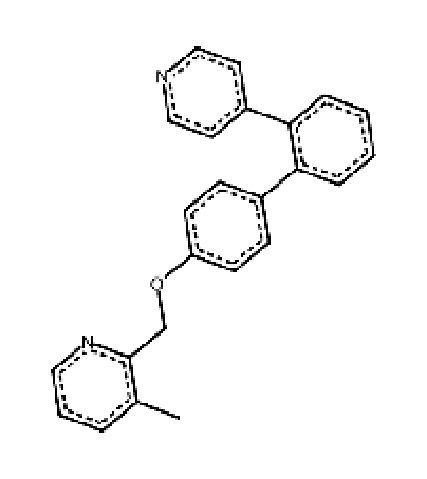 Cc1cccnc1COc1ccc(-c2ccccc2-c2ccncc2)cc1